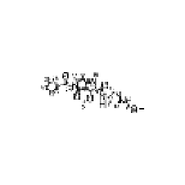 CCOc1c(C(=O)NC2CCN(CCO)CC2)n(C)c2cc(C)n(CC(=O)c3ccccc3)c(=O)c12